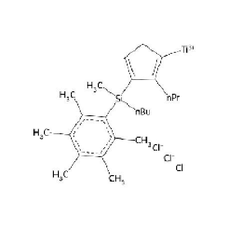 CCCC[Si](C)(C1=CC[C]([Ti+3])=C1CCC)c1c(C)c(C)c(C)c(C)c1C.[Cl-].[Cl-].[Cl-]